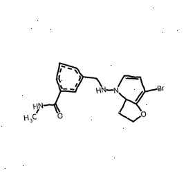 CNC(=O)c1cccc(CNN2C=CC(Br)=C3OCCC32)c1